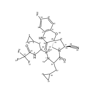 CN(C(=O)C(CC1CC1)NC(=O)C(F)(F)F)C(CC1CC1)C(=O)N1C[C@@]2(C[C@H]1C#N)Oc1ccc(F)cc1NC2=O